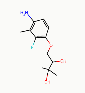 Cc1c(N)ccc(OCC(O)C(C)(C)O)c1F